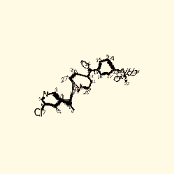 CC(c1cncc(Cl)c1)N1CCC(C(=O)c2ccc(NS(C)(=O)=O)cc2)CC1